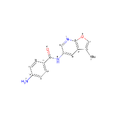 CC(C)(C)c1coc2ncc(NC(=O)c3ccc(N)cc3)cc12